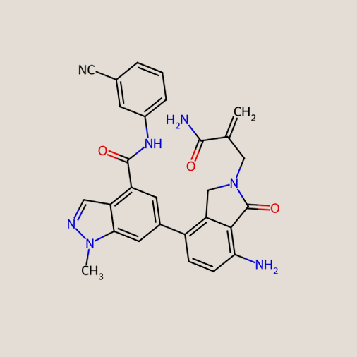 C=C(CN1Cc2c(-c3cc(C(=O)Nc4cccc(C#N)c4)c4cnn(C)c4c3)ccc(N)c2C1=O)C(N)=O